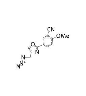 COc1ccc(-c2nc(CN=[N+]=[N-])co2)cc1C#N